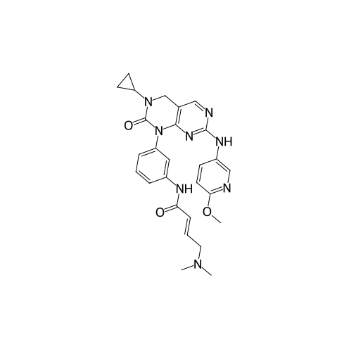 COc1ccc(Nc2ncc3c(n2)N(c2cccc(NC(=O)/C=C/CN(C)C)c2)C(=O)N(C2CC2)C3)cn1